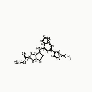 Cn1cc(-c2cc(NC3CCC4CN(C(=O)OC(C)(C)C)CC43)c3ccnn3c2)cn1